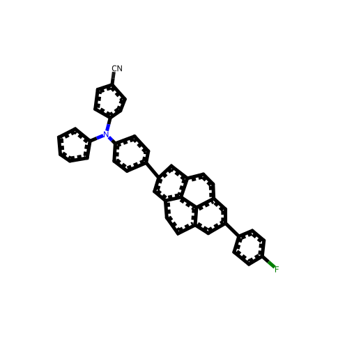 N#Cc1ccc(N(c2ccccc2)c2ccc(-c3cc4ccc5cc(-c6ccc(F)cc6)cc6ccc(c3)c4c56)cc2)cc1